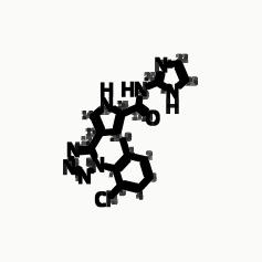 Cc1cccc(Cl)c1-n1nnnc1-c1c[nH]c(C(=O)Nc2ncc[nH]2)c1